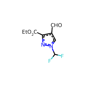 CCOC(=O)c1nn(C(F)F)cc1C=O